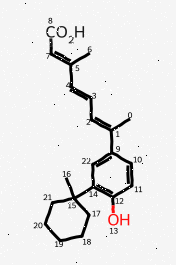 CC(=CC=C/C(C)=C/C(=O)O)c1ccc(O)c(C2(C)CCCCC2)c1